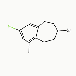 CCC1CCc2cc(F)cc(C)c2CC1